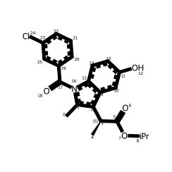 Cc1c([C@H](C)C(=O)OC(C)C)c2cc(O)ccc2n1C(=O)c1cccc(Cl)c1